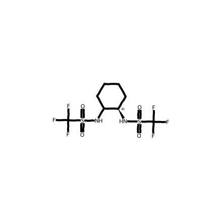 O=S(=O)(NC1CCCC[C@H]1NS(=O)(=O)C(F)(F)F)C(F)(F)F